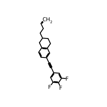 C=CCCC1CCc2cc(C#Cc3cc(F)c(F)c(F)c3)ccc2C1